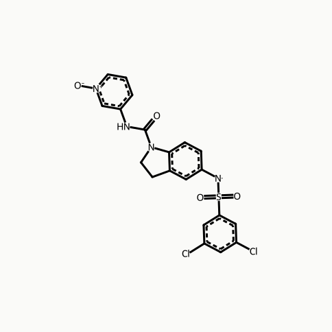 O=C(Nc1ccc[n+]([O-])c1)N1CCc2cc([N]S(=O)(=O)c3cc(Cl)cc(Cl)c3)ccc21